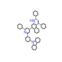 C1=C(c2ccccc2)c2c(cc(-c3cc(-c4ccccc4)nc(-c4cccc(-n5c6ccccc6c6ccccc65)c4)c3)c3ccccc23)NC1c1ccccc1